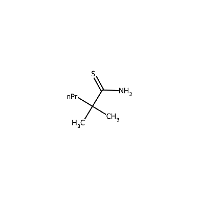 CCCC(C)(C)C(N)=S